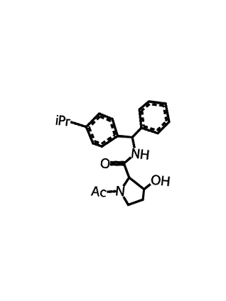 CC(=O)N1CCC(O)C1C(=O)NC(c1ccccc1)c1ccc(C(C)C)cc1